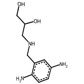 Nc1ccc(N)c(CNCC(O)CO)c1